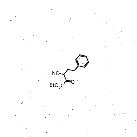 CCOC(=O)C(=O)C(C#N)CCc1ccccc1